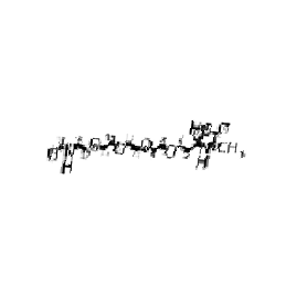 C[C@H](NC(=O)CCOCCOCCOCCOCCNC=O)C(=O)O